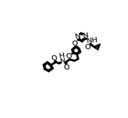 O=C(CNC(=O)C1CCc2ccc(Oc3cc(NC(=O)C4CC4)ncn3)cc2O1)c1ccccc1